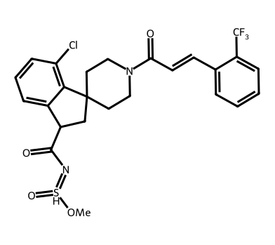 CO[SH](=O)=NC(=O)C1CC2(CCN(C(=O)/C=C/c3ccccc3C(F)(F)F)CC2)c2c(Cl)cccc21